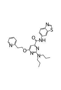 CCCN(CCC)c1nc(OCCc2ccccn2)cc(C(=O)Nc2ccc3ncsc3c2)n1